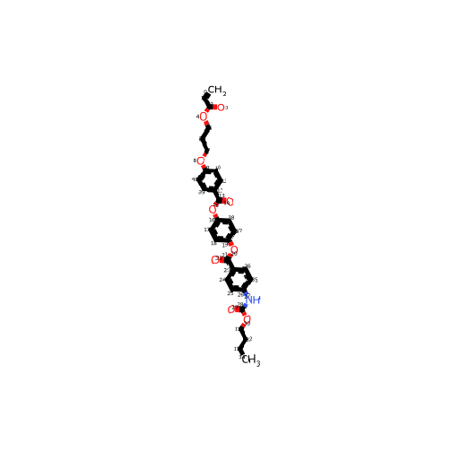 C=CC(=O)OCCCOc1ccc(C(=O)Oc2ccc(OC(=O)c3ccc(NC(=O)OCCCC)cc3)cc2)cc1